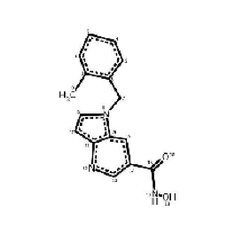 Cc1ccccc1Cn1ccc2ncc(C(=O)NO)cc21